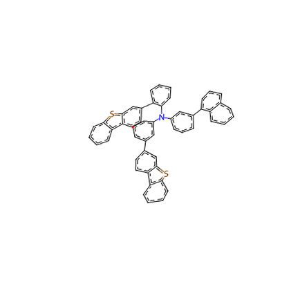 c1cc(-c2ccc3c(c2)sc2ccccc23)cc(N(c2cccc(-c3cccc4ccccc34)c2)c2ccccc2-c2ccc3c(c2)sc2ccccc23)c1